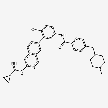 CN1CCN(Cc2ccc(C(=O)Nc3ccc(Cl)c(-c4ccc5cc(NC(=N)C6CC6)ncc5c4)c3)cc2)CC1